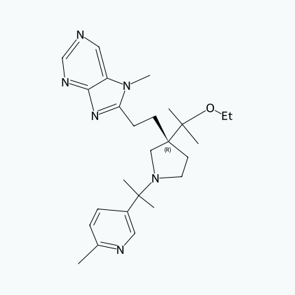 CCOC(C)(C)[C@]1(CCc2nc3ncncc3n2C)CCN(C(C)(C)c2ccc(C)nc2)C1